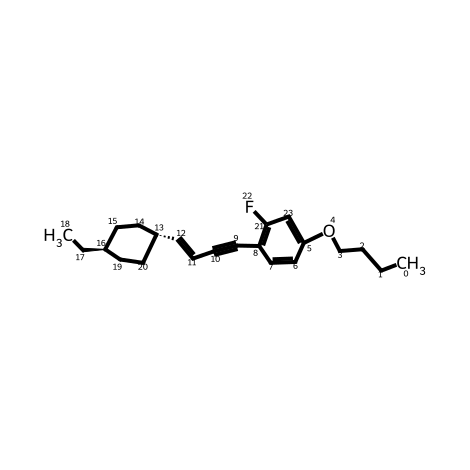 CCCCOc1ccc(C#CC=C[C@H]2CC[C@H](CC)CC2)c(F)c1